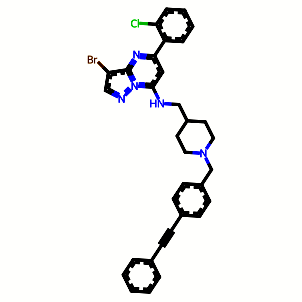 Clc1ccccc1-c1cc(NCC2CCN(Cc3ccc(C#Cc4ccccc4)cc3)CC2)n2ncc(Br)c2n1